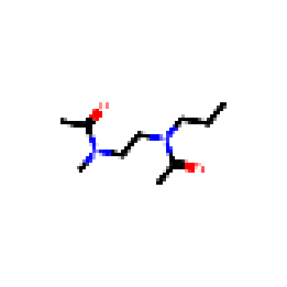 CCCN(CCN(C)C(C)=O)C(C)=O